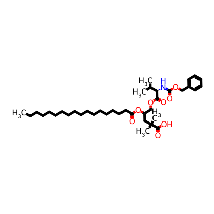 CCCCCCCCCCCCCCCCCC(=O)OC(COC(=O)[C@@H](NC(=O)OCc1ccccc1)C(C)C)CC(C)(C)C(=O)O